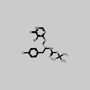 CC(C)(C)OC(=O)N[C@@H](COc1nc[nH]c(=O)c1Br)Cc1ccc(Cl)cc1